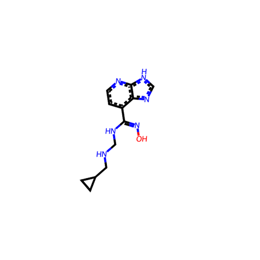 ON=C(NCNCC1CC1)c1ccnc2[nH]cnc12